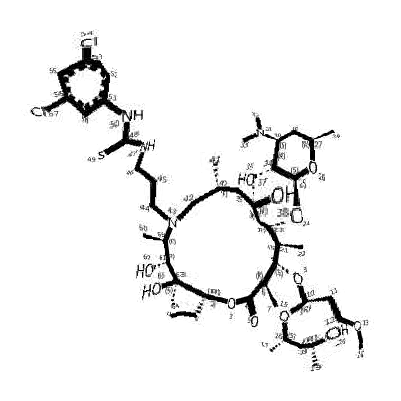 CC[C@H]1OC(=O)[C@H](C)[C@@H](O[C@@H](CCOC)O[C@@H](C)[C@@H](C)O)[C@H](C)[C@@H](O[C@@H]2O[C@H](C)C[C@H](N(C)C)[C@H]2O)[C@](C)(O)C[C@@H](C)CN(CCCNC(=S)Nc2cc(Cl)cc(Cl)c2)[C@H](C)[C@@H](O)[C@]1(C)O